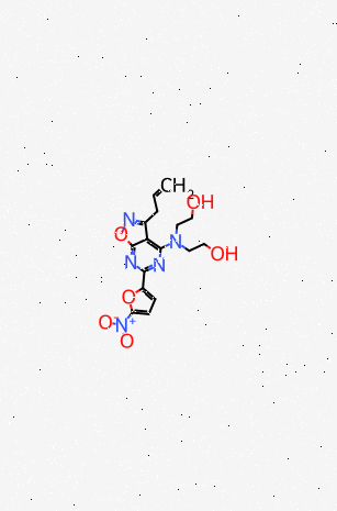 C=CCc1noc2nc(-c3ccc([N+](=O)[O-])o3)nc(N(CCO)CCO)c12